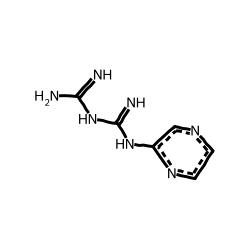 N=C(N)NC(=N)Nc1cnccn1